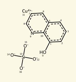 Oc1cccc2cccnc12.[Cu+4].[O-][Si]([O-])([O-])[O-]